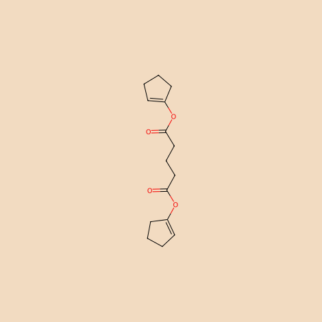 O=C(CCCC(=O)OC1=CCCC1)OC1=CCCC1